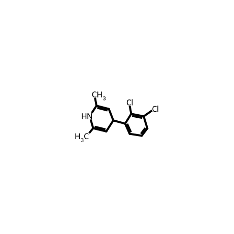 CC1=CC(c2cccc(Cl)c2Cl)C=C(C)N1